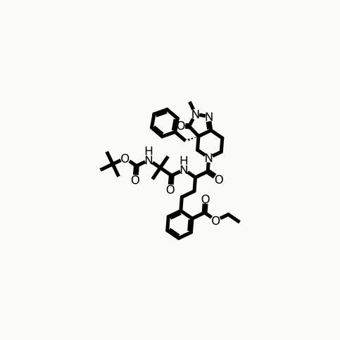 CCOC(=O)c1ccccc1CCC(NC(=O)C(C)(C)NC(=O)OC(C)(C)C)C(=O)N1CCC2=NN(C)C(=O)[C@]2(Cc2ccccc2)C1